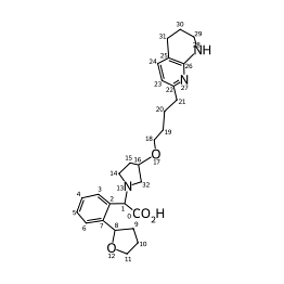 O=C(O)C(c1ccccc1C1CCCO1)N1CCC(OCCCCc2ccc3c(n2)NCCC3)C1